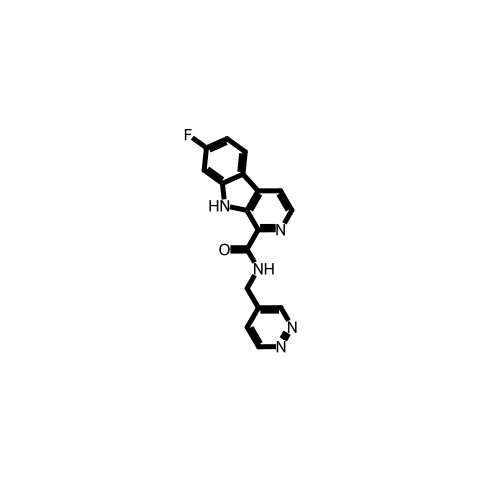 O=C(NCc1ccnnc1)c1nccc2c1[nH]c1cc(F)ccc12